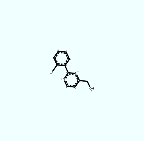 OCc1ccnc(-c2ccccc2I)n1